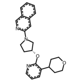 c1cnc(O[C@@H]2CCN(c3cc4ccccc4cn3)C2)c(C2CCOCC2)c1